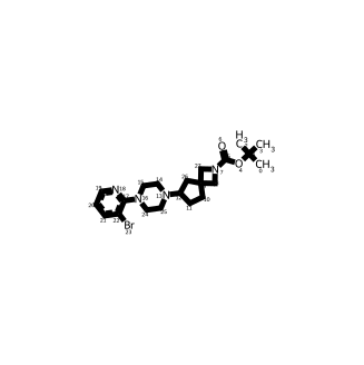 CC(C)(C)OC(=O)N1CC2(CCC(N3CCN(c4ncccc4Br)CC3)C2)C1